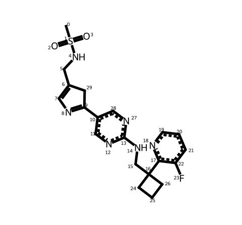 CS(=O)(=O)NCC1=CN=C(c2cnc(NCC3(c4ncccc4F)CCC3)nc2)C1